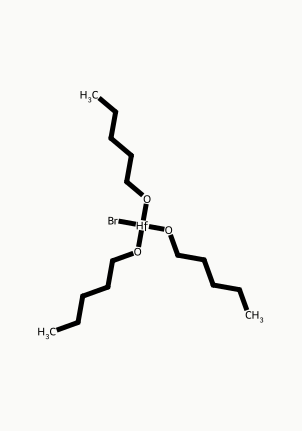 CCCCC[O][Hf]([Br])([O]CCCCC)[O]CCCCC